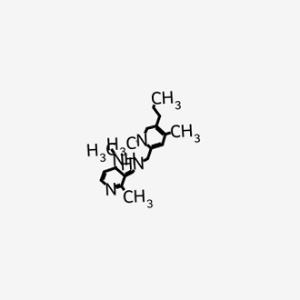 CCCC1=C(C)C=C(CN/C=C2/C(C)=NC=CC2NC)N(C)C1